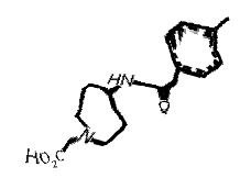 Cc1ccc(C(=O)NC2CCN(C(=O)O)CC2)cc1